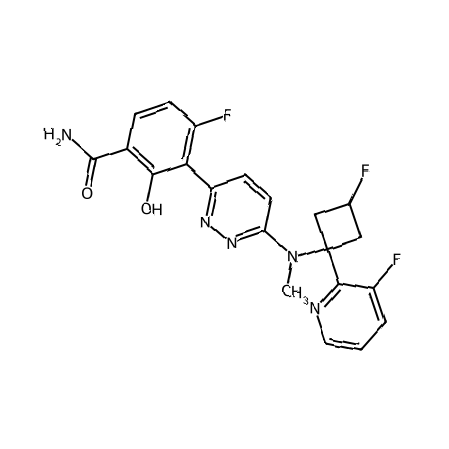 CN(c1ccc(-c2c(F)ccc(C(N)=O)c2O)nn1)C1(c2ncccc2F)CC(F)C1